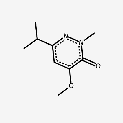 COc1cc(C(C)C)nn(C)c1=O